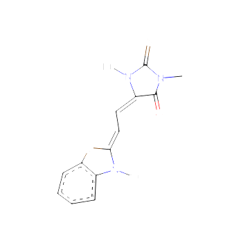 CCN1C(=S)N(C)C(=O)/C1=C\C=C1/Sc2ccccc2N1CC